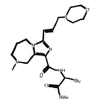 CNC(=O)C(NC(=O)c1nc(C=CCN2CCOCC2)n2c1CN(C)CCC2)C(C)(C)C